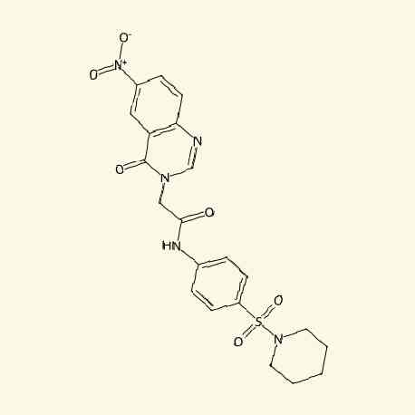 O=C(Cn1cnc2ccc([N+](=O)[O-])cc2c1=O)Nc1ccc(S(=O)(=O)N2CCCCC2)cc1